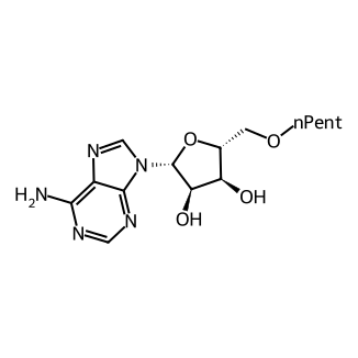 CCCCCOC[C@H]1O[C@@H](n2cnc3c(N)ncnc32)[C@H](O)[C@@H]1O